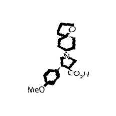 COc1ccc([C@@H]2CN([C@H]3CC[C@@]4(CCCO4)CC3)C[C@H]2C(=O)O)cc1